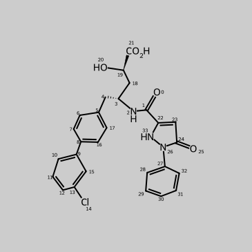 O=C(N[C@H](Cc1ccc(-c2cccc(Cl)c2)cc1)C[C@@H](O)C(=O)O)c1cc(=O)n(-c2ccccc2)[nH]1